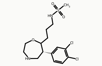 CS(=O)(=O)NCCCC1OCCNC[C@H]1c1ccc(Cl)c(Cl)c1